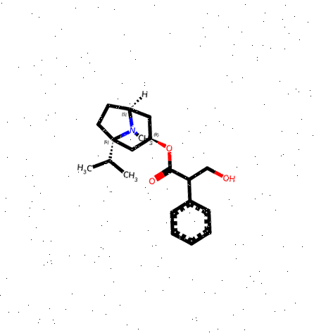 CC(C)[C@@]12CC[C@@H](C[C@@H](OC(=O)C(CO)c3ccccc3)C1)N2C